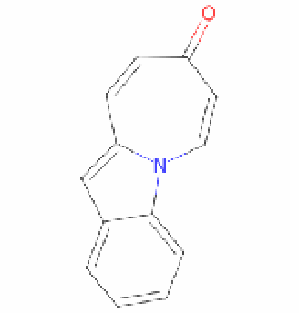 O=c1ccc2cc3ccccc3n2cc1